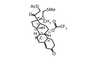 CSCO[C@]1(C(=O)COC(C)=O)CC[C@H]2[C@@H]3CCC4=CC(=O)CC[C@]4(C)[C@H]3[C@@H](OC(=O)C(F)(F)F)C[C@@]21C